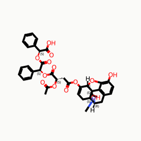 CC(=O)O[C@@H](CC(=O)OC1=CC[C@@]2(O)[C@H]3Cc4ccc(O)c5c4[C@@]2(CCN3C)[C@H]1O5)C(=O)O[C@H](C(=O)O[C@H](C(=O)O)c1ccccc1)c1ccccc1